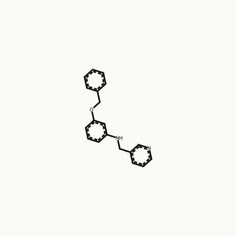 c1ccc(COc2cccc(NCc3cccnc3)c2)cc1